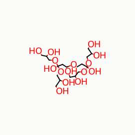 OCC(O)COC(O)(CCOCCC(O)(OCC(O)CO)OCC(O)CO)OCC(O)CO